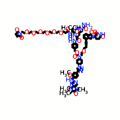 CC[C@@H]1C(=O)N(C)c2cnc(Nc3ccc(-c4cn(C5CCC(N(CCOCCC#Cc6cccc7c6CN(C6CCC(=O)NC6=O)C7=O)C(=O)OCc6ccc(NC(=O)[C@H](CCCNC(N)=O)NC(=O)[C@H](NC(=O)CCOCCOCCOCCOCCOCCOCCN7C(=O)C=CC7=O)C(C)C)cc6)CC5)nn4)cc3OC)nc2N1C